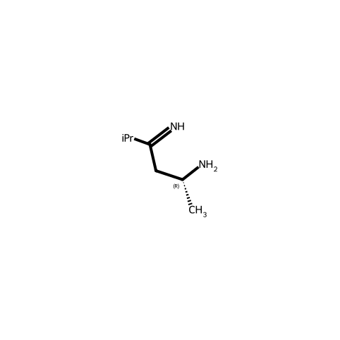 CC(C)C(=N)C[C@@H](C)N